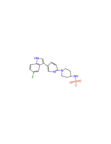 CS(=O)(=O)NC1CCN(c2ccc(-c3c[nH]c4ccc(F)cc34)cn2)CC1